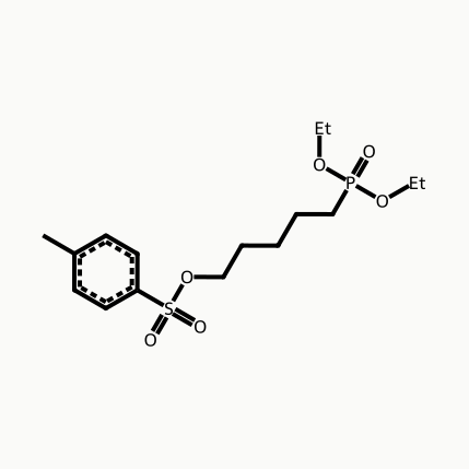 CCOP(=O)(CCCCCOS(=O)(=O)c1ccc(C)cc1)OCC